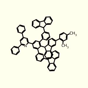 Cc1ccc(-c2ccc3c(c2)-c2ccccc2C3c2c(-c3cccc(C4c5ccccc5-c5ccccc54)c3)cc(-c3cc(-c4ccccc4)cc(-c4ccccc4)n3)cc2-c2cccc(C3c4ccccc4-c4ccccc43)c2)c(C)c1